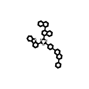 c1ccc(-c2ccc3ccc(-c4ccc(-c5nc(-c6ccc(-c7cccc8ccccc78)c7ccccc67)nc(-c6cccc7c6sc6ccccc67)n5)cc4)cc3c2)cc1